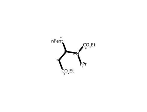 CCCCCC(CC(=O)OCC)N(CCC)C(=O)OCC